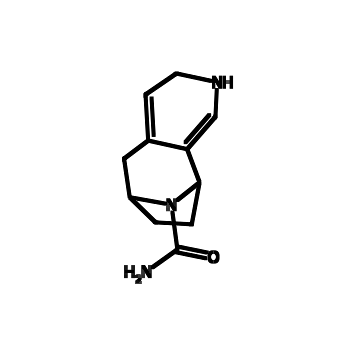 NC(=O)N1C2CCC1C1=CNCC=C1C2